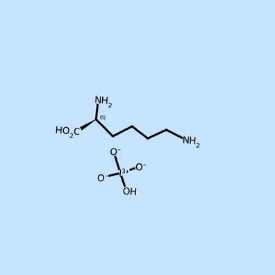 NCCCC[C@H](N)C(=O)O.[O-][I+3]([O-])([O-])O